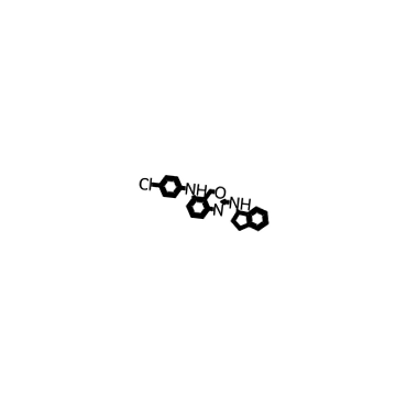 Clc1ccc(Nc2cccc3c2COC(N[C@@H]2CCc4ccccc42)=N3)cc1